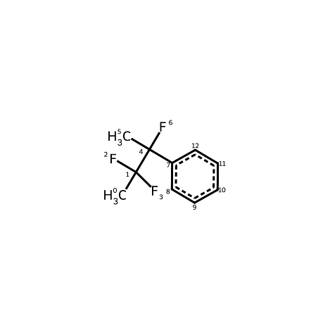 CC(F)(F)C(C)(F)c1ccccc1